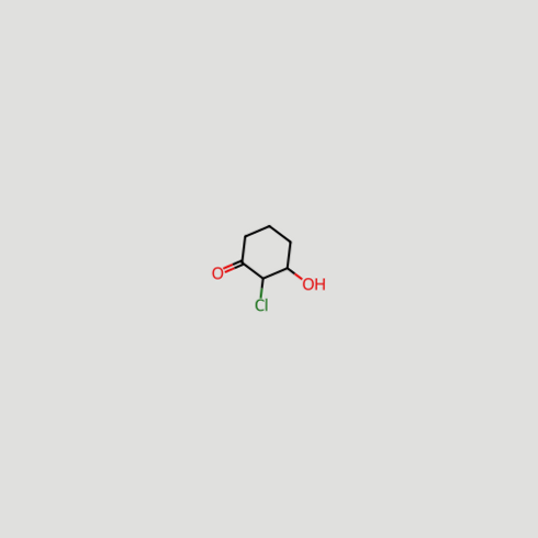 O=C1CCCC(O)C1Cl